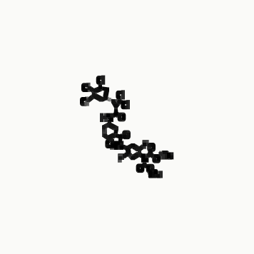 CC(C)(C)OC(=O)N(C(=O)OC(C)(C)C)c1cc(F)c(NC(=O)c2cc(NC(=O)[C@H]3[C@H](c4cc(Cl)c(Cl)c(Cl)c4)C3(Cl)Cl)ccc2Cl)cc1F